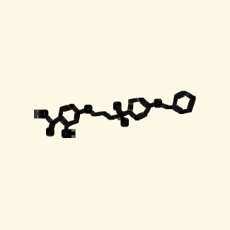 O=C(O)c1ccc(OCCCS(=O)(=O)c2ccc(OCc3ccccc3)cc2)cc1O